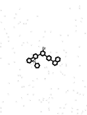 Brc1cc(-c2ccc(-c3cccc4ccccc34)cc2)cc(-c2ccc3c4ccccc4n(-c4ccccc4)c3c2)c1